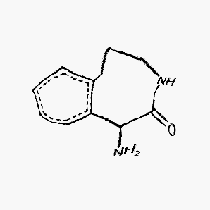 NC1C(=O)NCCc2ccccc21